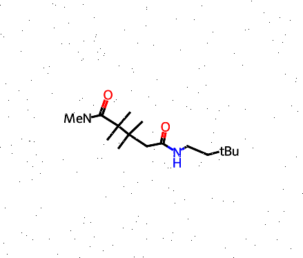 CNC(=O)C(C)(C)C(C)(C)CC(=O)NCCC(C)(C)C